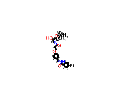 CCc1ccc(C(=O)NCc2ccc(OCCC(=O)N3C[C@@H](O)[C@H](O[Si](C)(C)C(C)(C)C)C3)cc2)cc1